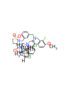 COc1ccc(Cl)c(CN(Cc2cccc(CN3C(C(=O)N[C@H]4C[C@H]5C[C@@H]([C@@H]4C)C5(C)C)CCS3(=O)=O)c2)[C@@H](Cc2ccc(Cl)cc2)CN(C)C)c1F